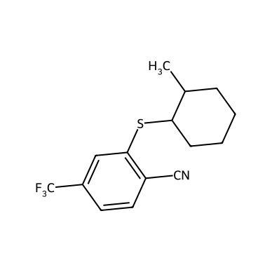 CC1CCCCC1Sc1cc(C(F)(F)F)ccc1C#N